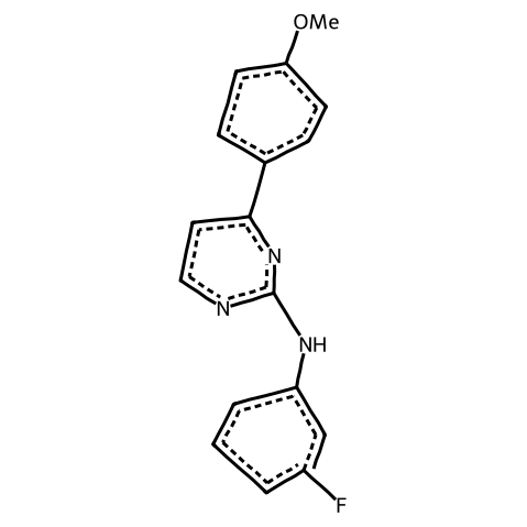 COc1ccc(-c2ccnc(Nc3cccc(F)c3)n2)cc1